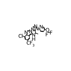 CC(Nc1ncnc2c(Cl)cc(C(F)(F)F)cc12)c1ncnn1-c1ccc(OC(F)F)cn1